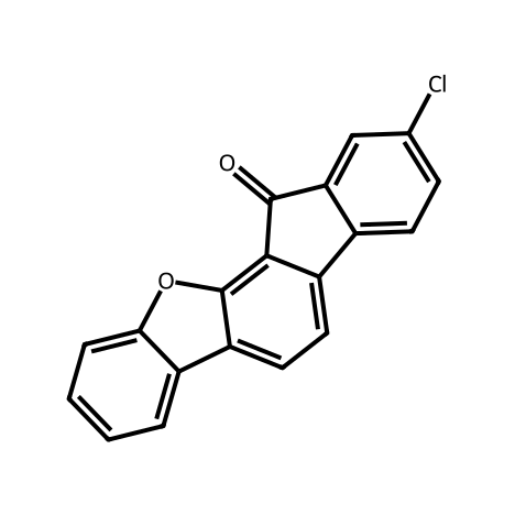 O=C1c2cc(Cl)ccc2-c2ccc3c(oc4ccccc43)c21